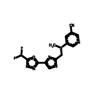 CN(Cc1ncc(-c2nnc(C(F)F)o2)s1)c1cncc(C#N)c1